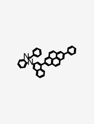 c1ccc(-c2cc3ccc4cc(-c5cc(-n6c(-c7ccccc7)nc7ccccc76)cc6ccccc56)cc5ccc(c2)c3c45)cc1